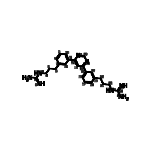 N=C(N)NCCCc1cccc(-c2cc(-c3cccc(CCCNC(=N)N)c3)ncn2)c1